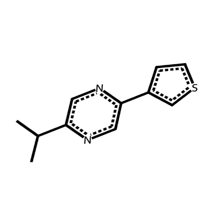 CC(C)c1cnc(-c2ccsc2)cn1